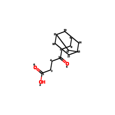 O=C(O)CCC(=O)C12CC3CC(CC(C3)C1)C2